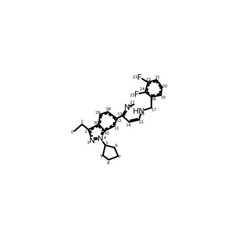 CCc1nn(C2CCCC2)c2cc(C(/C=C\NCc3cccc(F)c3F)=N/C)ccc12